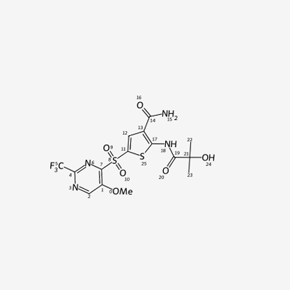 COc1cnc(C(F)(F)F)nc1S(=O)(=O)c1cc(C(N)=O)c(NC(=O)C(C)(C)O)s1